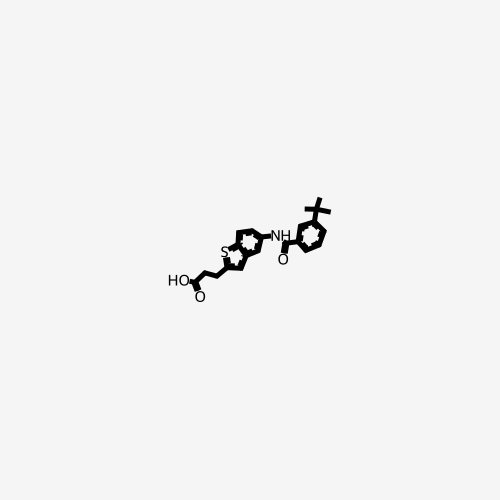 CC(C)(C)c1cccc(C(=O)Nc2ccc3sc(CCC(=O)O)cc3c2)c1